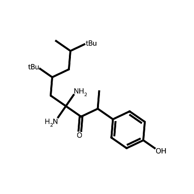 CC(C(=O)C(N)(N)CC(CC(C)C(C)(C)C)C(C)(C)C)c1ccc(O)cc1